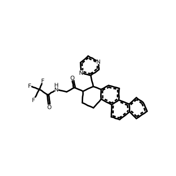 O=C(CNC(=O)C(F)(F)F)C1CCc2c(ccc3c2ccc2ccccc23)C1c1cnccn1